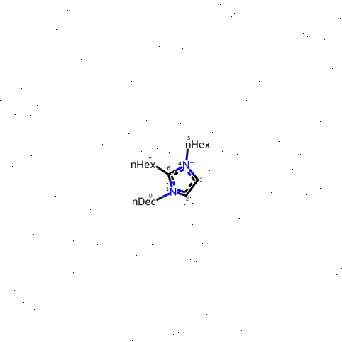 CCCCCCCCCCn1cc[n+](CCCCCC)c1CCCCCC